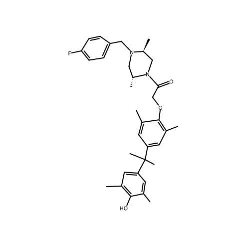 Cc1cc(C(C)(C)c2cc(C)c(OCC(=O)N3C[C@H](C)N(Cc4ccc(F)cc4)C[C@H]3C)c(C)c2)cc(C)c1O